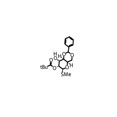 CS[C@@H]1O[C@@H]2COC(c3ccccc3)O[C@@H]2[C@H](O)[C@H]1OC(=O)C(C)(C)C